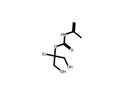 C=C(C)NC(=O)OC(CC)(CO)CO